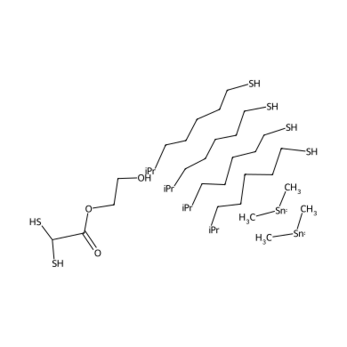 CC(C)CCCCCS.CC(C)CCCCCS.CC(C)CCCCCS.CC(C)CCCCCS.O=C(OCCO)C(S)S.[CH3][Sn][CH3].[CH3][Sn][CH3]